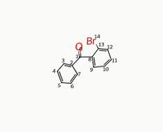 O=C(c1ccccc1)c1ccccc1Br